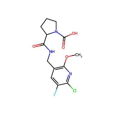 COc1nc(Cl)c(F)cc1CNC(=O)C1CCCN1C(=O)O